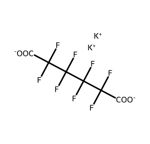 O=C([O-])C(F)(F)C(F)(F)C(F)(F)C(F)(F)C(=O)[O-].[K+].[K+]